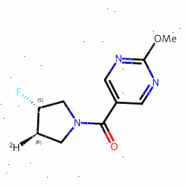 [2H][C@@H]1CN(C(=O)c2cnc(OC)nc2)C[C@H]1F